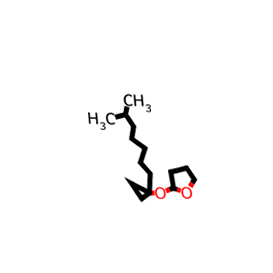 CC(C)CCCCCC1(OC2CCCO2)CC1